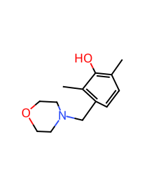 Cc1ccc(CN2CCOCC2)c(C)c1O